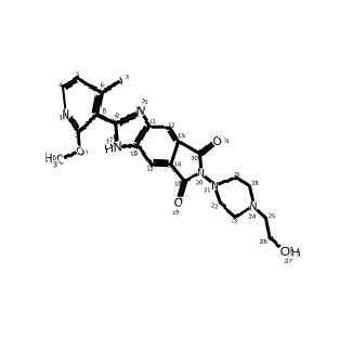 COc1nccc(I)c1-c1nc2cc3c(cc2[nH]1)C(=O)N(N1CCN(CCO)CC1)C3=O